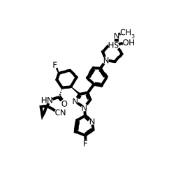 CN=[SH]1(O)CCN(c2ccc(-c3cn(-c4ccc(F)cn4)nc3[C@@H]3CC[C@H](F)C[C@H]3C(=O)NC3(C#N)CC3)cc2)CC1